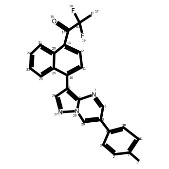 Cc1ccc(-c2cnc3c(-c4ccc(C(=O)C(F)(F)F)c5ccccc45)cnn3c2)cc1